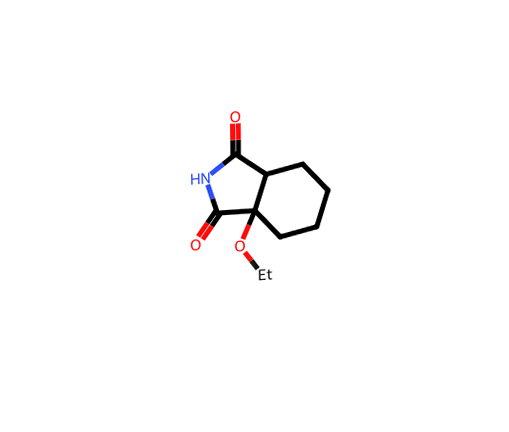 CCOC12CCCCC1C(=O)NC2=O